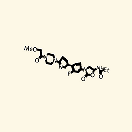 CCC(=O)NC1CN(c2ccc(-c3ccc(N4CCN(C(=O)COC)CC4)nc3)c(F)c2)C(=O)O1